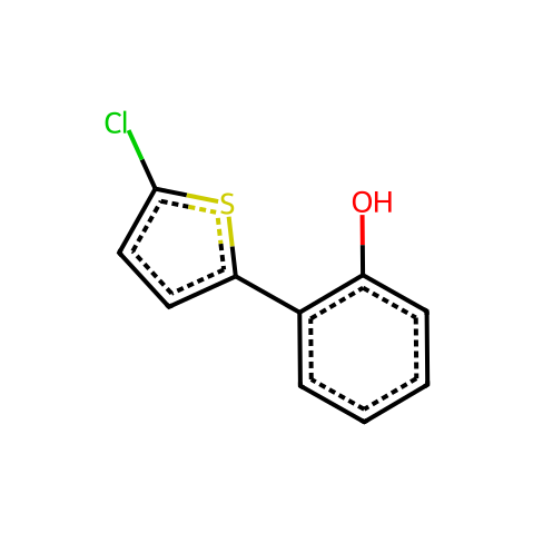 Oc1ccccc1-c1ccc(Cl)s1